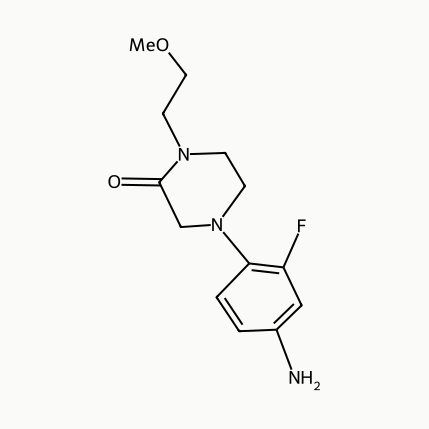 COCCN1CCN(c2ccc(N)cc2F)CC1=O